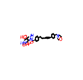 CC(C)(O)[C@H](NC(=O)c1ccc(/C=C/C#Cc2ccc(CN3CCOCC3)cc2)cc1)C(=O)NO